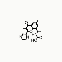 Cc1cc([C@@H](C)NC(=O)O)c2oc(-c3cnccn3)c(C)c(=O)c2c1